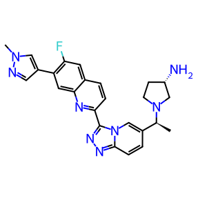 C[C@@H](c1ccc2nnc(-c3ccc4cc(F)c(-c5cnn(C)c5)cc4n3)n2c1)N1CC[C@H](N)C1